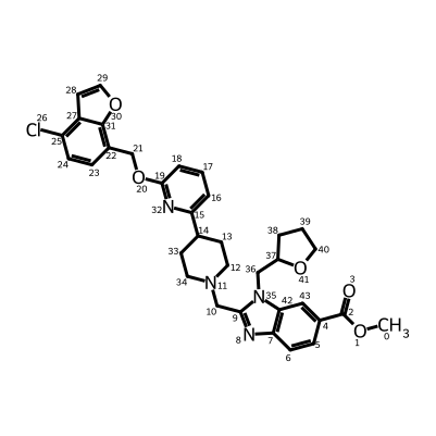 COC(=O)c1ccc2nc(CN3CCC(c4cccc(OCc5ccc(Cl)c6ccoc56)n4)CC3)n(CC3CCCO3)c2c1